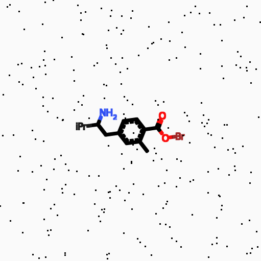 Cc1cc(CC(N)C(C)C)ccc1C(=O)OBr